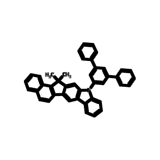 CC1(C)c2cc3c(cc2-c2ccc4ccccc4c21)c1ccccc1n3-c1cc(-c2ccccc2)cc(-c2ccccc2)c1